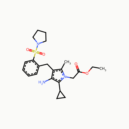 CCOC(=O)Cn1c(C)c(Cc2ccccc2S(=O)(=O)N2CCCC2)c(N)c1C1CC1